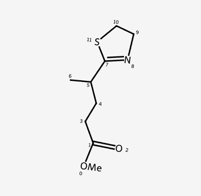 COC(=O)CCC(C)C1=NCCS1